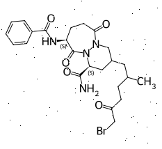 CC(CCC(=O)CBr)CC1C[C@@H](C(N)=O)N2C(=O)[C@@H](NC(=O)c3ccccc3)CCC(=O)N2C1